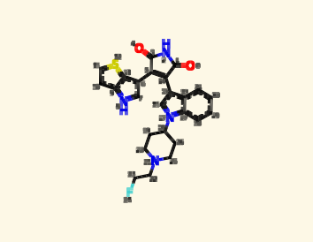 O=C1NC(=O)C(c2c[nH]c3ccsc23)=C1c1cn(C2CCN(CCF)CC2)c2ccccc12